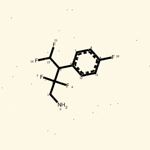 NCC(F)(F)C(c1ccc(F)cc1)C(F)F